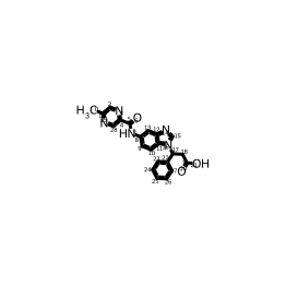 Cc1cnc(C(=O)Nc2ccc3c(c2)ncn3C(CC(=O)O)c2ccccc2)cn1